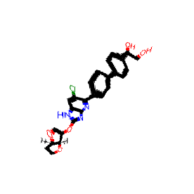 OCC(O)c1ccc(-c2ccc(-c3nc4nc(OC5CO[C@@H]6CCO[C@H]56)[nH]c4cc3Cl)cc2)cc1